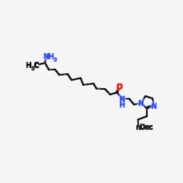 CCCCCCCCCCCCC1=NCCN1CCNC(=O)CCCCCCCCCCCC(C)N